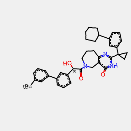 CC(C)(C)c1cccc(-c2cccc([C@@H](O)C(=O)N3CCCc4nc(C5(c6cccc(C7CCCCC7)c6)CC5)[nH]c(=O)c4C3)c2)c1